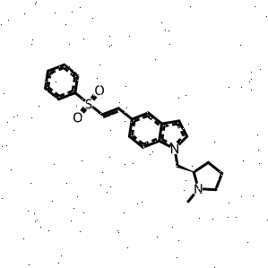 CN1CCC[C@@H]1Cn1ccc2cc(/C=C/S(=O)(=O)c3ccccc3)ccc21